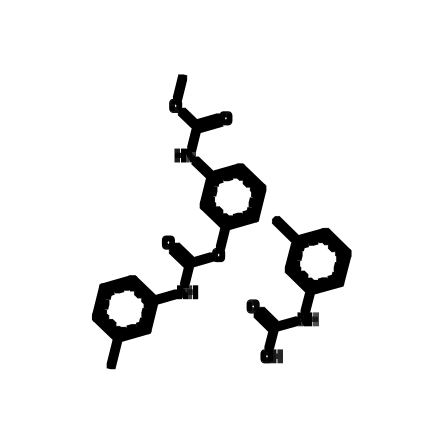 COC(=O)Nc1cccc(OC(=O)Nc2cccc(C)c2)c1.Cc1cccc(NC(=O)O)c1